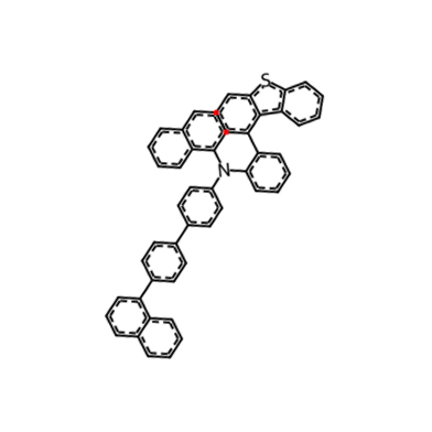 c1ccc(N(c2ccc(-c3ccc(-c4cccc5ccccc45)cc3)cc2)c2cccc3ccccc23)c(-c2cccc3sc4ccccc4c23)c1